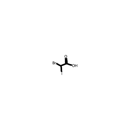 O=C(O)C(Br)I